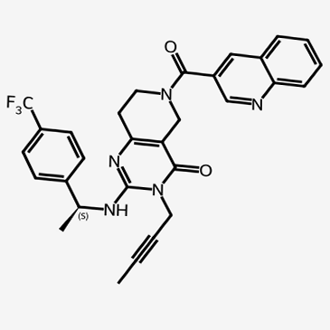 CC#CCn1c(N[C@@H](C)c2ccc(C(F)(F)F)cc2)nc2c(c1=O)CN(C(=O)c1cnc3ccccc3c1)CC2